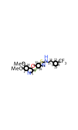 COc1cc2nccc(Oc3cc4sc(NCCc5cccc(C(F)(F)F)c5)nc4cc3F)c2cc1OC